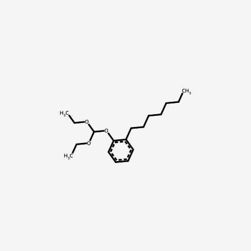 CCCCCCCc1ccccc1OC(OCC)OCC